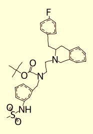 CC(C)(C)OC(=O)N(CCN1Cc2ccccc2CC1Cc1ccc(F)cc1)Cc1cccc(NS(C)(=O)=O)c1